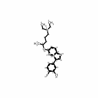 CCN(CC)CCCC(C)Oc1ccc2ncc(-c3ccc(F)c(Cl)c3)n2n1